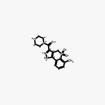 Cc1cccc2c1S(=O)(=O)Cc1c(C(=O)N3CCOCC3)n[nH]c1-2